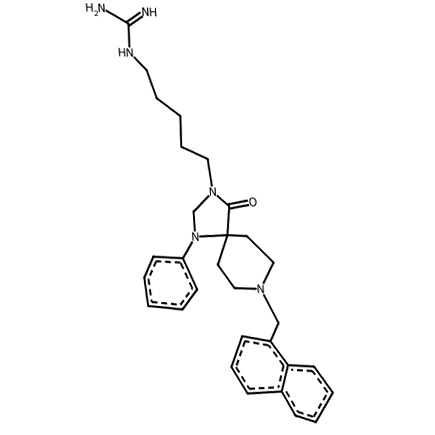 N=C(N)NCCCCCN1CN(c2ccccc2)C2(CCN(Cc3cccc4ccccc34)CC2)C1=O